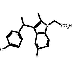 Cc1c(C(C)c2ccc(Cl)cc2)c2cc(F)ccc2n1CC(=O)O